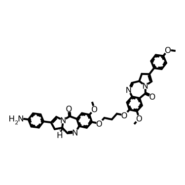 COc1ccc(C2=CN3C(=O)c4cc(OC)c(OCCCOc5cc6c(cc5OC)C(=O)N5C=C(c7ccc(N)cc7)C[C@H]5C=N6)cc4N=CC3C2)cc1